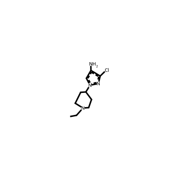 CCN1CCC(n2cc(N)c(Cl)n2)CC1